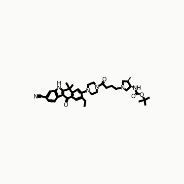 CCc1cc2c(cc1N1CCN(C(=O)CCCN3C[C@@H](C)[C@@H](NC(=O)OC(C)(C)C)C3)CC1)C(C)(C)c1[nH]c3cc(C#N)ccc3c1C2=O